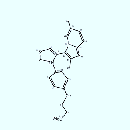 COCCOc1ccc(N2CSC=C2c2c(C)nc3ccc(C)cn23)cc1